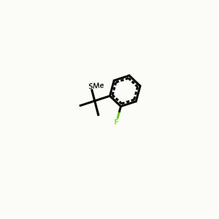 CSC(C)(C)c1ccccc1F